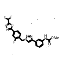 COC(=O)Nc1cccc(-c2cn(Cc3ccc(-c4nnc(C(F)F)o4)cc3F)nn2)c1